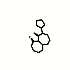 O=C1CCCCC2CCCC(C3CCCC3)C(=O)C12